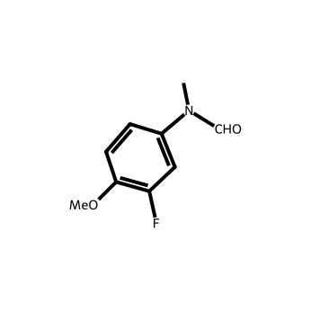 COc1ccc(N(C)C=O)cc1F